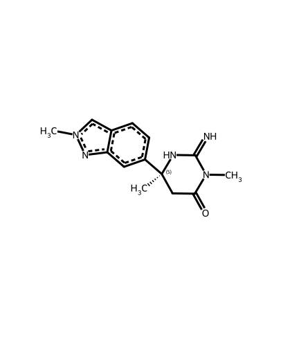 CN1C(=N)N[C@](C)(c2ccc3cn(C)nc3c2)CC1=O